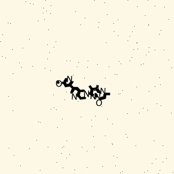 COc1cncc(-c2cnc3c(c2)CN(c2nn4c(=O)cc(C)nc4c(C)c2C)CC3)c1